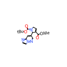 COC(=O)C1=CCN(C(=O)OC(C)(C)C)C1c1cnn2ccnc2c1